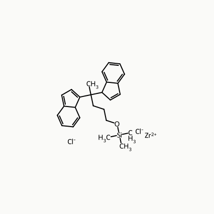 CC(CCCO[Si](C)(C)C)(C1=CC=C2C=CC=CC21)C1C=Cc2ccccc21.[Cl-].[Cl-].[Zr+2]